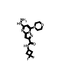 NNc1cc(N2CCOCC2)n2nc(C(=O)NC3CC(F)(F)C3)cc2n1